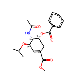 COC(=O)C1=C[C@@H](OC(C)C)[C@H](NC(C)=O)[C@H](OC(=O)c2ccccc2)C1